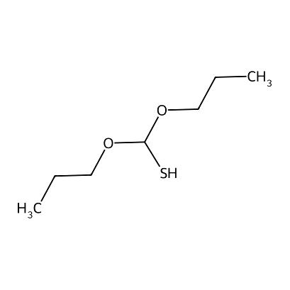 CCCOC(S)OCCC